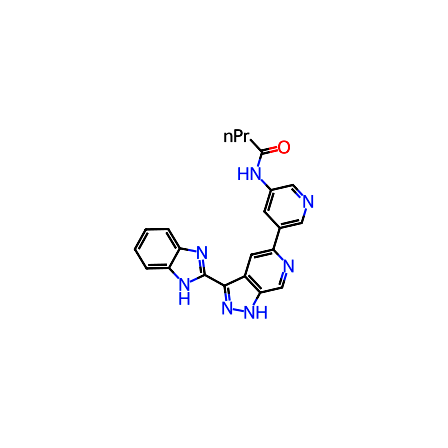 CCCC(=O)Nc1cncc(-c2cc3c(-c4nc5ccccc5[nH]4)n[nH]c3cn2)c1